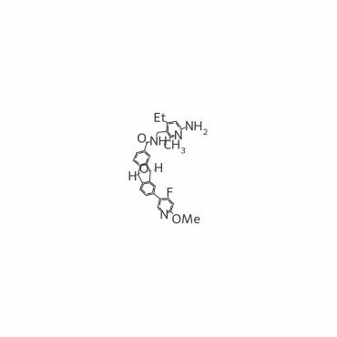 CCc1cc(N)nc(C)c1CNC(=O)c1ccc2c(c1)[C@@H]1O[C@H]2c2ccc(-c3cnc(OC)cc3F)cc21